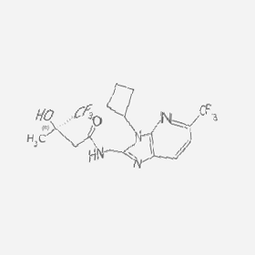 C[C@@](O)(CC(=O)Nc1nc2ccc(C(F)(F)F)nc2n1C1CCC1)C(F)(F)F